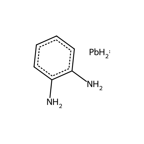 Nc1ccccc1N.[PbH2]